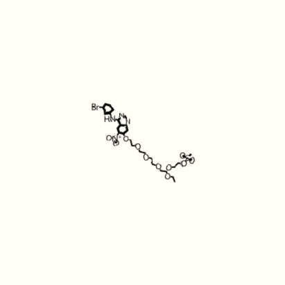 CCOC(COCCOCCOCCOc1cc2ncnc(Nc3cccc(Br)c3)c2cc1[N+](=O)[O-])OCCOS(C)(=O)=O